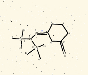 C[Si](C)(C)N(/N=C1/CCCC(=O)C1)[Si](C)(C)C